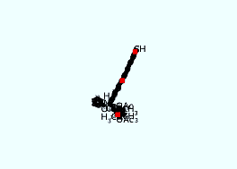 C#CC#CC#CC#CC#CC#CC#CC#CC#CC(C)(CCc1c(C)c(OC(C)=O)c(C)c(C)c1OC(C)=O)NC(=O)c1ccccc1